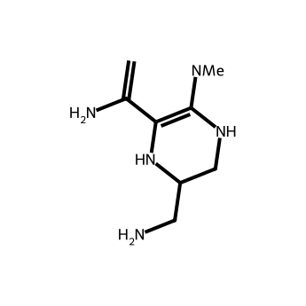 C=C(N)C1=C(NC)NCC(CN)N1